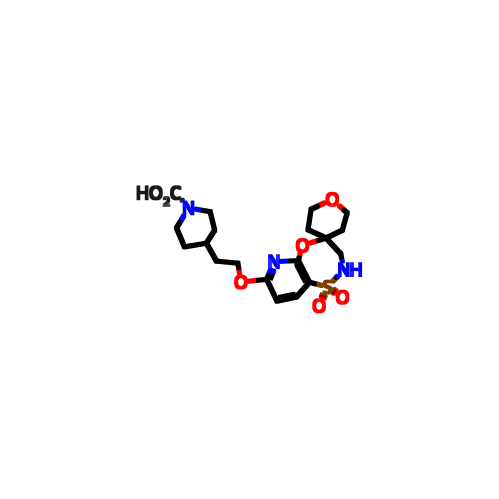 O=C(O)N1CCC(CCOc2ccc3c(n2)OC2(CCOCC2)CNS3(=O)=O)CC1